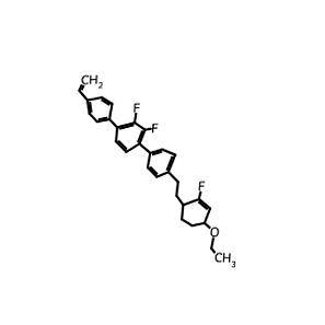 C=Cc1ccc(-c2ccc(-c3ccc(CCC4CCC(OCC)C=C4F)cc3)c(F)c2F)cc1